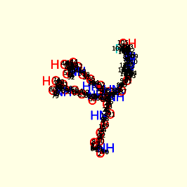 CC(=O)N[C@@H]1CCCOC1OCCOCCOCCNC(=O)CCOCC(COCCC(=O)NCCOCCOCCO[C@@H]1OC[C@H](O)C[C@H]1NC(C)=O)(COCCC(=O)NCCOCCOCCO[C@@H]1OC[C@H](O)C[C@H]1NC(C)=O)NC(=O)CNC(=O)CCCOc1ccc2nc(-c3cn(-c4ccc(O)c(F)c4)nn3)ccc2c1